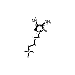 [C-]#[N+]c1cn(COCC[Si](C)(C)C)nc1N